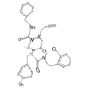 C#CCN1CC(=O)N([C@@H](Cc2ccc(O)cc2)C(=O)N(C)Cc2ccccc2Cl)[C@H](C)N1C(=O)NCc1ccccc1